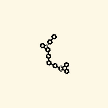 c1ccc(-c2ccc(-n3c4ccccc4c4cc(-c5ccc(-c6cccc(-c7ccc(-c8cnc9c%10ccccc%10c%10ccccc%10c9n8)cc7)c6)cc5)ccc43)cc2)cc1